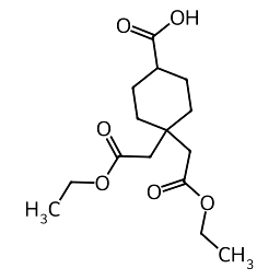 CCOC(=O)CC1(CC(=O)OCC)CCC(C(=O)O)CC1